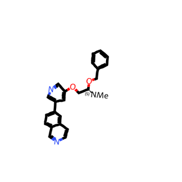 CN[C@H](COc1cncc(-c2ccc3cnccc3c2)c1)OCc1ccccc1